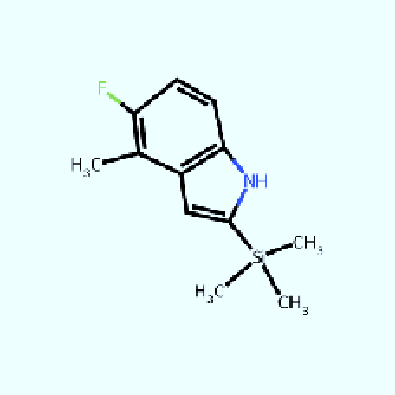 Cc1c(F)ccc2[nH]c([Si](C)(C)C)cc12